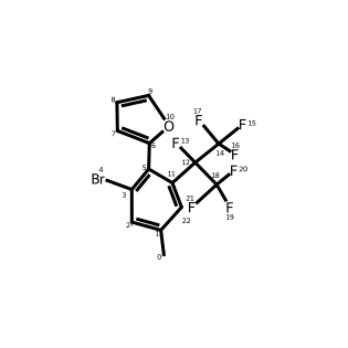 Cc1[c]c(Br)c(-c2ccco2)c(C(F)(C(F)(F)F)C(F)(F)F)c1